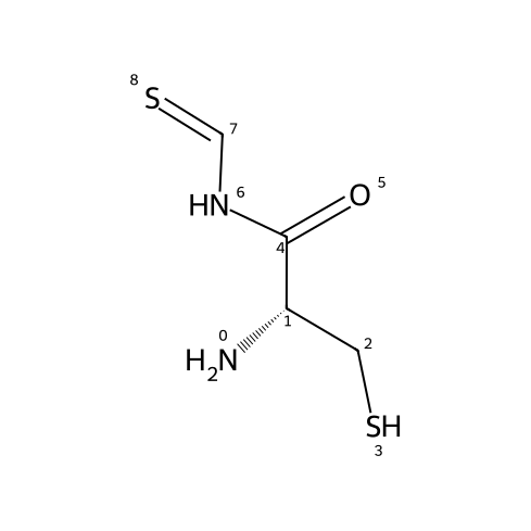 N[C@@H](CS)C(=O)NC=S